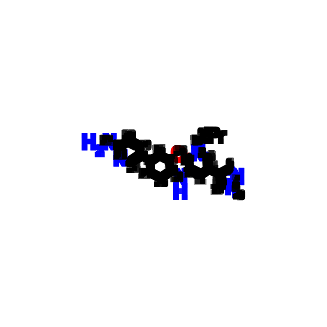 CC(C)Cn1cc(-c2cnn(C)c2)cc(N[C@H]2CC[C@@H](c3ccc(N)nc3)CC2)c1=O